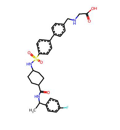 CC(NC(=O)C1CCC(NS(=O)(=O)c2ccc(-c3ccc(CNCC(=O)O)cc3)cc2)CC1)c1ccc(F)cc1